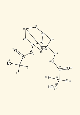 CCC(C)(C)C(=O)OC12CC3CC(CC(COC(=O)C(F)(F)S(=O)(=O)O)(C3)C1)C2